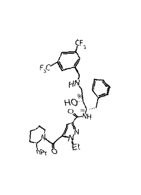 CCCC1CCCCN1C(=O)c1cc(C(=O)N[C@@H](Cc2ccccc2)[C@H](O)CNCc2cc(C(F)(F)F)cc(C(F)(F)F)c2)nn1CC